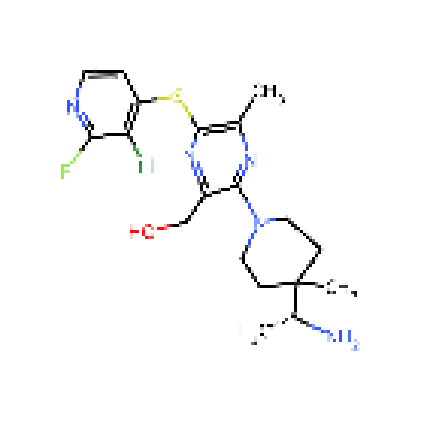 Cc1nc(N2CCC(C)([C@@H](C)N)CC2)c(CO)nc1Sc1ccnc(F)c1Cl